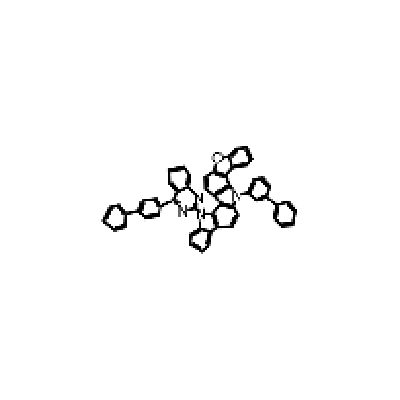 c1ccc(-c2ccc(-c3nc(-n4c5ccccc5c5ccc6c(c7ccc8oc9ccccc9c8c7n6-c6cccc(-c7ccccc7)c6)c54)nc4ccccc34)cc2)cc1